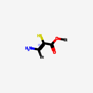 CCOC(=O)/C(S)=C(/N)CC